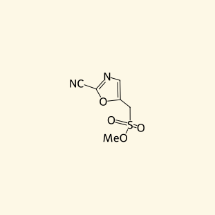 COS(=O)(=O)Cc1cnc(C#N)o1